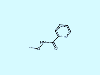 [CH2]ONC(=O)c1ccccc1